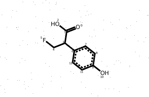 O=C(O)C(CF)c1ccc(O)cc1